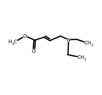 CCN(CC)C/C=C/C(=O)OC